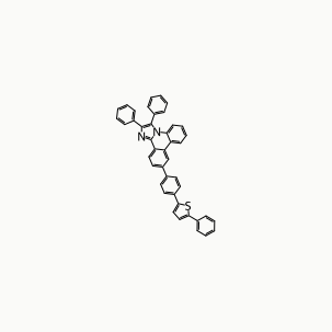 c1ccc(-c2ccc(-c3ccc(-c4ccc5c(c4)c4ccccc4n4c(-c6ccccc6)c(-c6ccccc6)nc54)cc3)s2)cc1